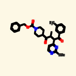 CSc1nccc(C(C(=O)c2cccc(C(F)(F)F)c2)C(C)C(=O)C2CCN(C(=O)OCc3ccccc3)CC2)n1